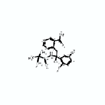 CC(Cc1ncncc1C(=O)O)(N[S+]([O-])C(C)(C)C)c1cc(Br)ccc1F